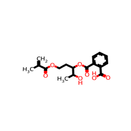 C=C(C)C(=O)OCCC(OC(=O)c1ccccc1C(=O)O)C(C)O